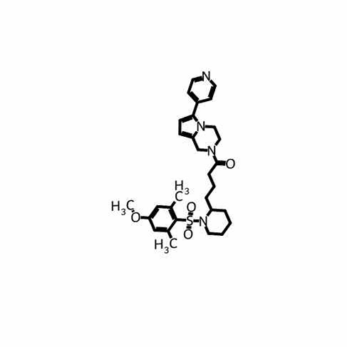 COc1cc(C)c(S(=O)(=O)N2CCCCC2CCCC(=O)N2CCn3c(ccc3-c3ccncc3)C2)c(C)c1